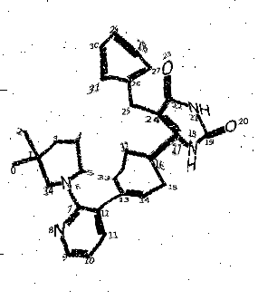 CC1(C)CCCN(c2ncccc2C2=CCC(c3[nH]c(=O)[nH]c(=O)c3Cc3ccccc3)CC2)C1